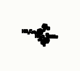 CNC(=O)c1ccc2c(C)cn(C(C)C(=O)Nc3cc(CN4CCCC4=O)ccc3CCCC(=O)O)c2c1